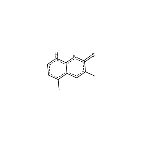 Cc1cc[nH]c2nc(=S)c(C)cc1-2